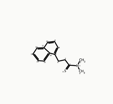 CN(C)C(=S)CCc1cccc2ccccc12